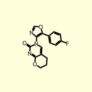 O=c1nc2c(cn1-c1ncoc1-c1ccc(F)cc1)CCCO2